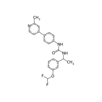 Cc1cc(-c2ccc(NC(=O)NC(C)c3cccc(OC(F)F)c3)cc2)ccn1